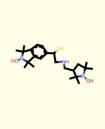 CC1(C)CC(CNCC(S)c2ccc3c(c2)C(C)(C)N(O)C3(C)C)C(C)(C)N1O